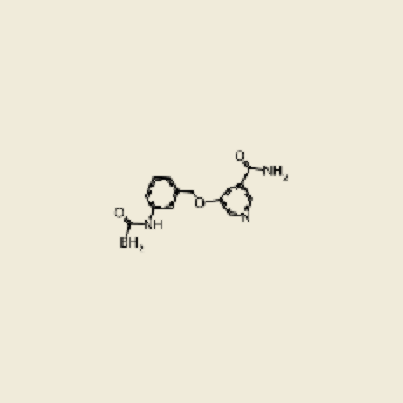 BC(=O)Nc1cccc(COc2cncc(C(N)=O)c2)c1